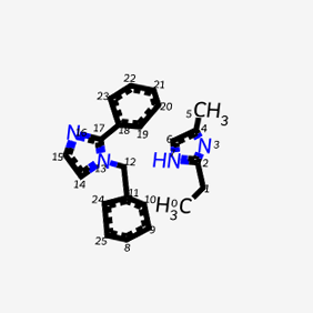 CCc1nc(C)c[nH]1.c1ccc(Cn2ccnc2-c2ccccc2)cc1